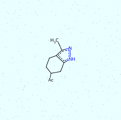 CC(=O)C1CCc2c(C)n[nH]c2C1